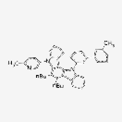 CCCCc1c(CCCC)c2c(c3ccccc3n2-c2ccc(C)nc2)c2c1c1ccccc1n2-c1cccc(-c2cccc(C)c2)c1